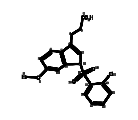 CCOc1ccc2c(CCC(=O)O)cn(S(=O)(=O)c3ccccc3Cl)c2c1